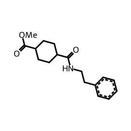 COC(=O)C1CCC(C(=O)NCCc2ccccc2)CC1